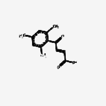 Cc1cc(C)c(C(=O)/C=C/C(=O)O)c(C)c1